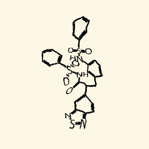 O=C(NS(=O)(=O)c1ccccc1)C(Cc1cccc(NS(=O)(=O)c2ccccc2)c1)c1ccc2nsnc2c1